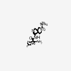 CC(C)(C)OC(=O)N1CCc2c(cncc2NC(=O)c2c(N)nn3cc(F)cnc23)C1